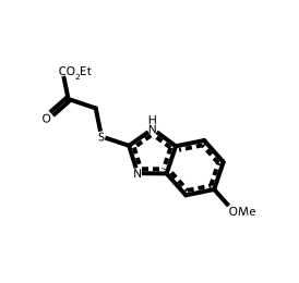 CCOC(=O)C(=O)CSc1nc2cc(OC)ccc2[nH]1